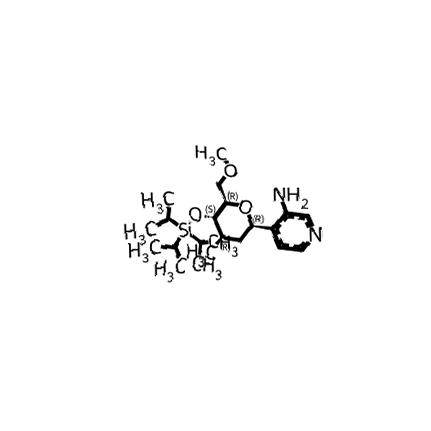 COC[C@H]1O[C@@H](c2ccncc2N)C[C@@H](C)[C@@H]1O[Si](C(C)C)(C(C)C)C(C)C